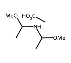 CC(=O)O.COC(C)NC(C)OC